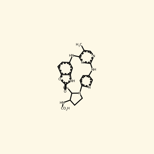 Cc1cnc(Nc2ccc(N3CCC(NC(=O)O)C3C(C)(C)C)nc2)nc1Nc1ccc2oc(=O)[nH]c2c1